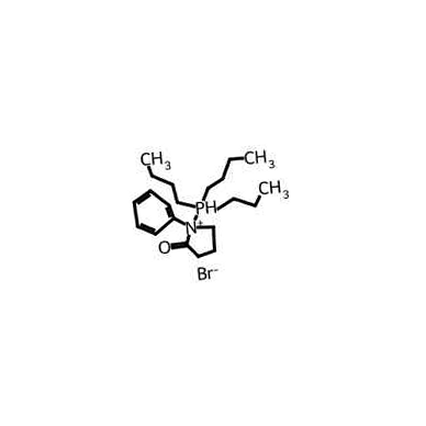 CCCC[PH](CCCC)(CCCC)[N+]1(c2ccccc2)CCCC1=O.[Br-]